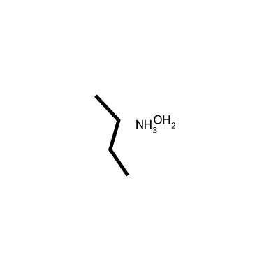 CCCC.N.O